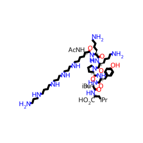 CC[C@H](C)[C@H](NC(=O)[C@H](Cc1ccc(O)cc1)NC(=O)[C@@H]1CCCN1C(=O)[C@H](CCCCN)NC(=O)[C@H](CCCCN)NC(=O)[C@H](CCCCNCCCNCCCNCCCCNCCCN)NC(C)=O)C(=O)N[C@@H](CC(C)C)C(=O)O